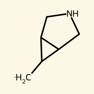 [CH2]C1C2CNCC12